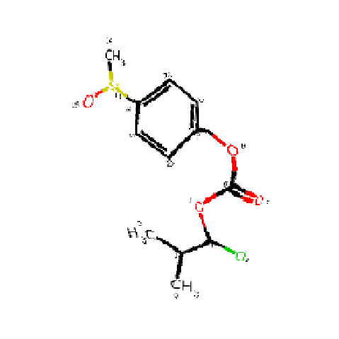 CC(C)C(Cl)OC(=O)Oc1ccc([S+](C)[O-])cc1